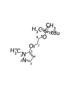 Cn1nccc1OCCO[Si](C)(C)C(C)(C)C